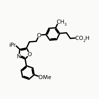 COc1cccc(-c2nc(C(C)C)c(CCOc3ccc(CCC(=O)O)c(C)c3)o2)c1